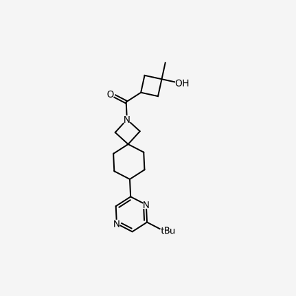 CC1(O)CC(C(=O)N2CC3(CCC(c4cncc(C(C)(C)C)n4)CC3)C2)C1